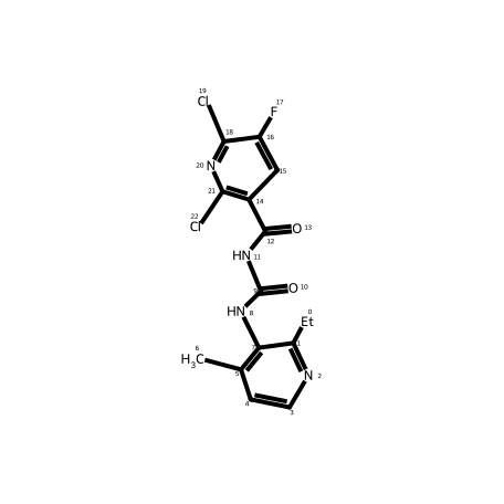 CCc1nccc(C)c1NC(=O)NC(=O)c1cc(F)c(Cl)nc1Cl